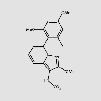 COc1cc(C)c(-c2cccc3c(NC(=O)O)c(OC)nn23)c(OC)c1